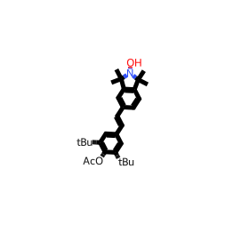 CC(=O)Oc1c(C(C)(C)C)cc(/C=C/c2ccc3c(c2)C(C)(C)N(O)C3(C)C)cc1C(C)(C)C